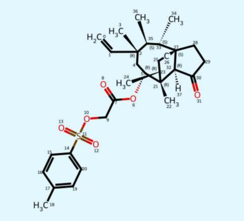 C=C[C@@]1(C)C[C@@H](OC(=O)COS(=O)(=O)c2ccc(C)cc2)[C@]2(C)[C@H](C)CC[C@]3(CCC(=O)[C@H]32)[C@@H](C)[C@@H]1C